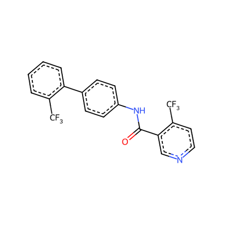 O=C(Nc1ccc(-c2ccccc2C(F)(F)F)cc1)c1cnccc1C(F)(F)F